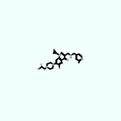 Cc1cc(CNCc2cn(C3CC3)c3cc(N4CCN(CC(F)F)CC4)c(F)cc3c2=O)ccn1